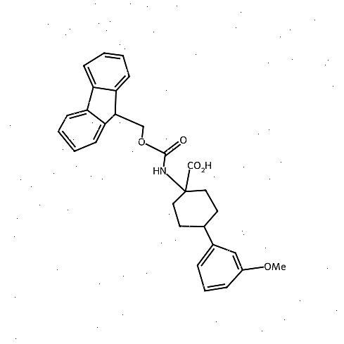 COc1cccc(C2CCC(NC(=O)OCC3c4ccccc4-c4ccccc43)(C(=O)O)CC2)c1